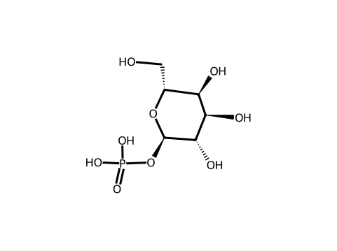 O=P(O)(O)O[C@H]1O[C@H](CO)[C@@H](O)[C@@H](O)[C@@H]1O